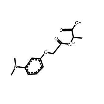 CC(NC(=O)COc1cccc(N(C)C)c1)C(=O)O